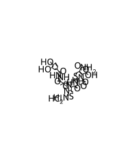 CC(C)(ON=C(C(=O)NC1(C=O)C(=O)N2C(C(=O)O)=C(C(N)=O)CS[C@H]21)c1csc(N)n1)C(=O)NNC(=O)c1ccc(O)c(O)c1.Cl